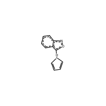 C1=C[SH](c2onc3ccccc23)C=C1